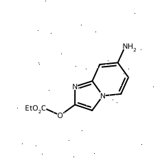 CCOC(=O)Oc1cn2ccc(N)cc2n1